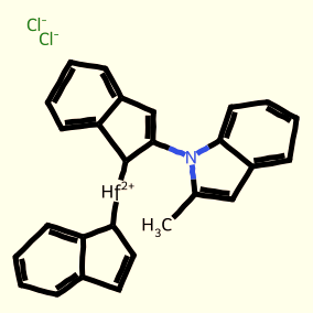 Cc1cc2ccccc2n1C1=Cc2ccccc2[CH]1[Hf+2][CH]1C=Cc2ccccc21.[Cl-].[Cl-]